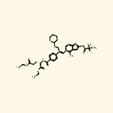 CCOC(=O)CC[C@H](NC(=O)c1ccc(C(=Cn2cnc3nc(NC(=O)C(C)(C)C)cc-3c2O)COC2CCCCO2)cc1)C(=O)OCC